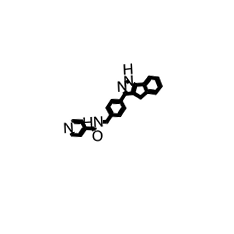 O=C(NCc1ccc(-c2n[nH]c3c2Cc2ccccc2-3)cc1)c1ccncc1